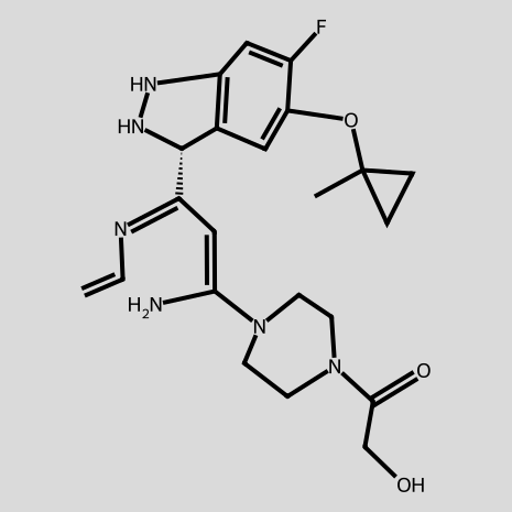 C=C/N=C(\C=C(/N)N1CCN(C(=O)CO)CC1)[C@@H]1NNc2cc(F)c(OC3(C)CC3)cc21